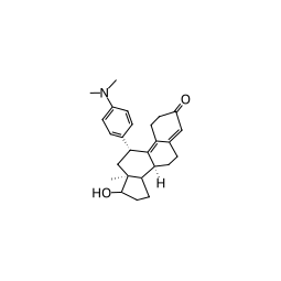 CN(C)c1ccc([C@H]2C[C@]3(C)C(O)CCC3[C@@H]3CCC4=CC(=O)CCC4=C32)cc1